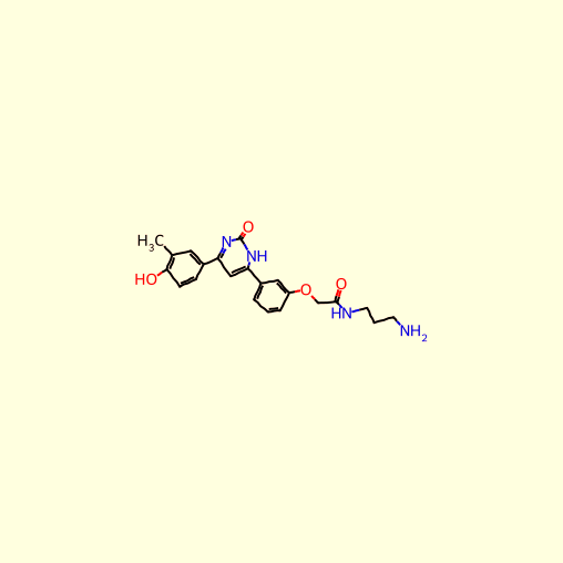 Cc1cc(-c2cc(-c3cccc(OCC(=O)NCCCN)c3)[nH]c(=O)n2)ccc1O